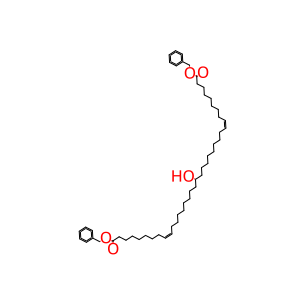 O=C(CCCCCCC/C=C\CCCCCCCCC(O)CCCCCCCC/C=C\CCCCCCCC(=O)OCc1ccccc1)OCc1ccccc1